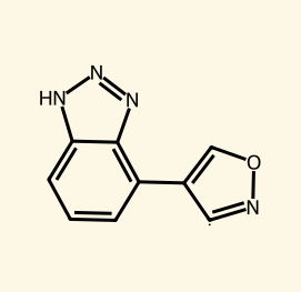 [c]1nocc1-c1cccc2[nH]nnc12